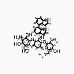 NC[C@H]1O[C@H](O[C@H]2[C@H](O)[C@@H](O[C@H]3O[C@H](CO)[C@@H](O)[C@H](N)[C@H]3O)[C@H](N)C[C@@H]2N)[C@H](N)C[C@@H]1O.c1ccc2[nH]ccc2c1.c1ccc2[nH]ccc2c1